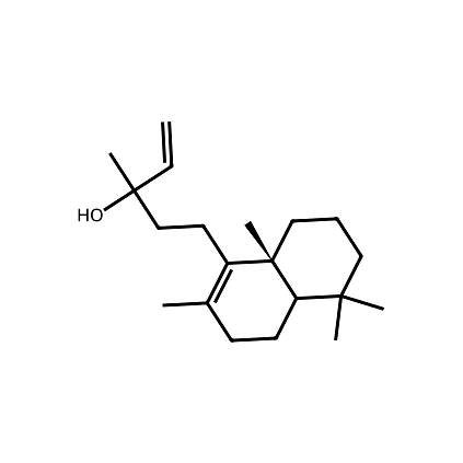 C=CC(C)(O)CCC1=C(C)CCC2C(C)(C)CCC[C@@]12C